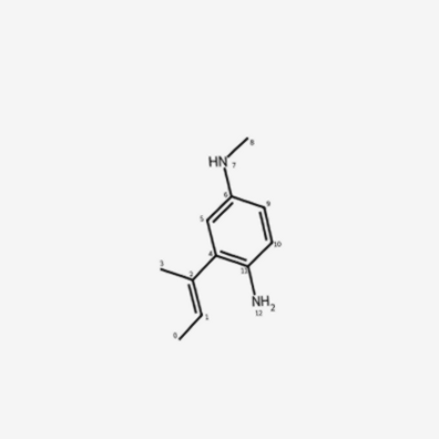 CC=C(C)c1cc(NC)ccc1N